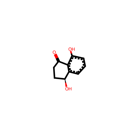 O=C1CC[C@H](O)c2cccc(O)c21